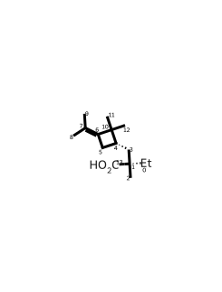 CC[C@@](C)(C[C@@H]1CC(=C(C)C)C1(C)C)C(=O)O